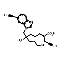 C#CCN(CCCC(C)(CCCS)Cn1cnc2ccc(C#C)cc21)C(=O)O